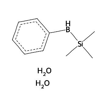 C[Si](C)(C)Bc1ccccc1.O.O